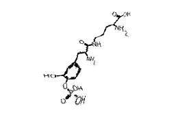 NC(CCCNC(=O)C(N)Cc1ccc(OP(=O)(O)O)c(O)c1)C(=O)O